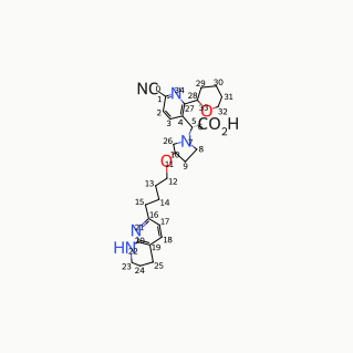 N#Cc1ccc([C@H](C(=O)O)N2CC[C@@H](OCCCCc3ccc4c(n3)NCCC4)C2)c(C2CCCCO2)n1